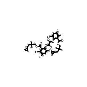 CC(C)(COC(=O)c1c(Cl)c(Cl)cc(Cl)c1OC(=O)C(=O)Oc1c(Cl)cc(Cl)c(Cl)c1C(=O)OCC(C)(C)CC1CC1)CC1CC1